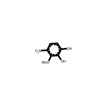 COc1c([N+](=O)[O-])ccc(O)c1O